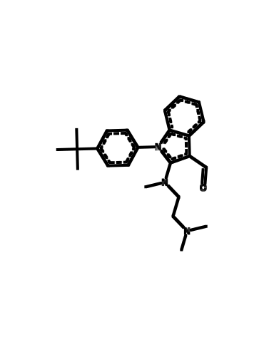 CN(C)CCN(C)c1c(C=O)c2ccccc2n1-c1ccc(C(C)(C)C)cc1